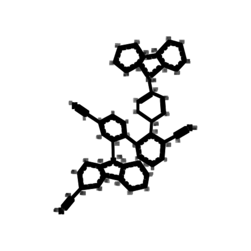 N#Cc1ccc(-c2cccc(C#N)c2C2C=CC(n3c4ccccc4c4ccccc43)=CC2)c(-n2c3ccccc3c3cc(C#N)ccc32)c1